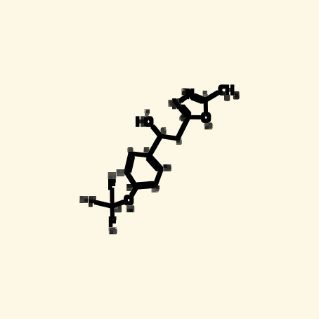 Cc1nnc(CC(O)c2ccc(OC(F)(F)F)cc2)o1